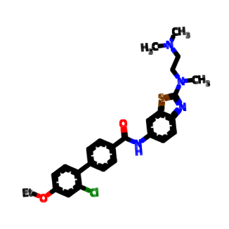 CCOc1ccc(-c2ccc(C(=O)Nc3ccc4nc(N(C)CCN(C)C)sc4c3)cc2)c(Cl)c1